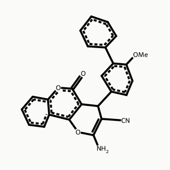 COc1ccc(C2C(C#N)=C(N)Oc3c2c(=O)oc2ccccc32)cc1-c1ccccc1